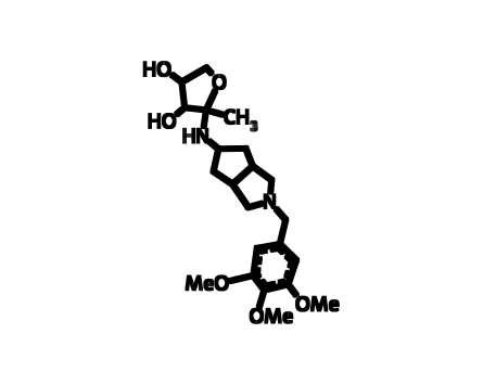 COc1cc(CN2CC3CC(NC4(C)OCC(O)C4O)CC3C2)cc(OC)c1OC